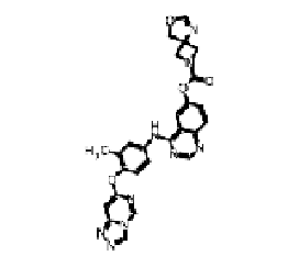 Cc1cc(Nc2ncnc3ccc(OC(=O)N4CC5(COC=N5)C4)cc23)ccc1Oc1cc2nncn2cn1